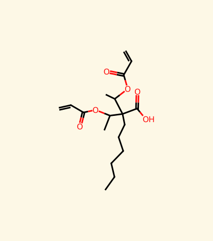 C=CC(=O)OC(C)C(CCCCCC)(C(=O)O)C(C)OC(=O)C=C